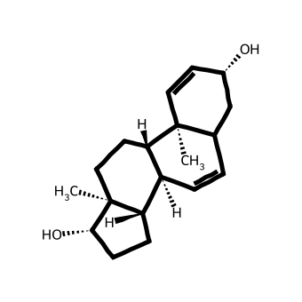 C[C@]12CC[C@H]3[C@@H](C=CC4C[C@@H](O)C=C[C@@]43C)[C@@H]1CC[C@@H]2O